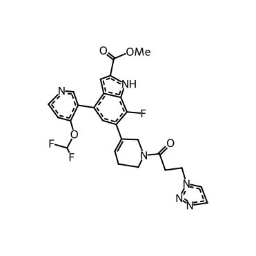 COC(=O)c1cc2c(-c3cnccc3OC(F)F)cc(C3=CCCN(C(=O)CCn4ccnn4)C3)c(F)c2[nH]1